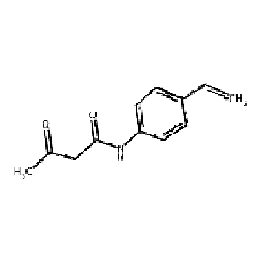 C=Cc1ccc(NC(=O)CC(C)=O)cc1